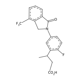 CC(CC(=O)O)c1cc(N2Cc3c(cccc3C(F)(F)F)C2=O)ccc1F